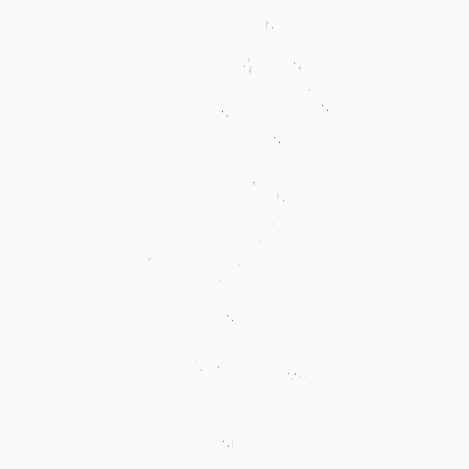 COC(=O)[C@H](CCCN)[N+]1(C(=O)c2ccc3c(c2)CCN3Cc2cnc3nc(N)nc(N)c3n2)C(=O)c2ccccc2C1=O